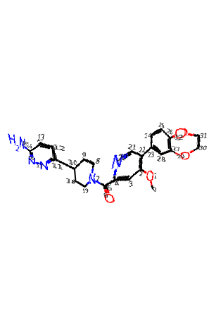 COc1cc(C(=O)N2CCC(c3ccc(N)nn3)CC2)ncc1-c1ccc2c(c1)OCCO2